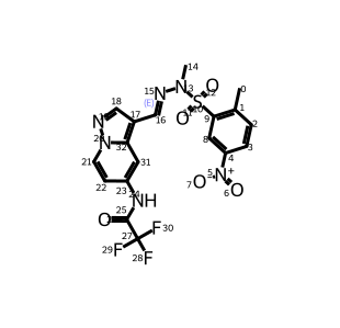 Cc1ccc([N+](=O)[O-])cc1S(=O)(=O)N(C)/N=C/c1cnn2ccc(NC(=O)C(F)(F)F)cc12